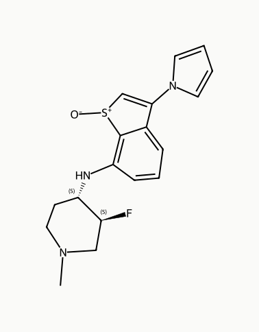 CN1CC[C@H](Nc2cccc3c(-n4cccc4)c[s+]([O-])c23)[C@@H](F)C1